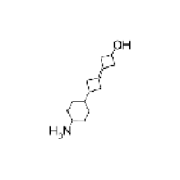 NC1CCC(C2CC(=C3CC(O)C3)C2)CC1